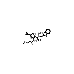 COCCC(C)Nc1nc(C2CC2)cnc1C(=N)NCc1nc2ccccc2[nH]1